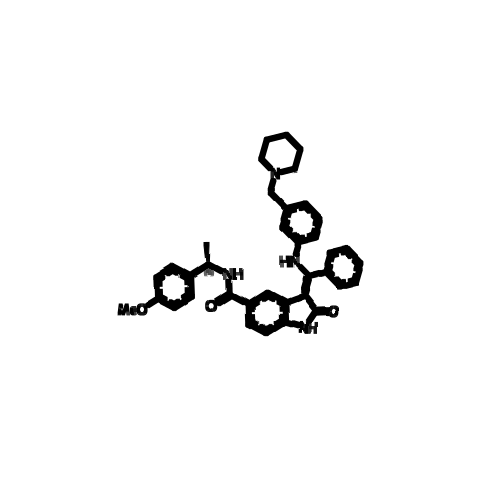 COc1ccc([C@@H](C)NC(=O)c2ccc3c(c2)C(=C(Nc2cccc(CN4CCCCC4)c2)c2ccccc2)C(=O)N3)cc1